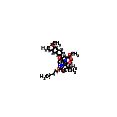 C=CCCCCOC(=O)N[C@H](C(=O)N1CC(OC)(c2ccc3cc(OC)c(C=C)cc3c2)CC1C(=O)OC)C(C)(C)C